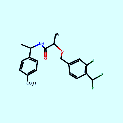 CC(NC(=O)C(OCc1ccc(C(F)F)c(F)c1)C(C)C)c1ccc(C(=O)O)cc1